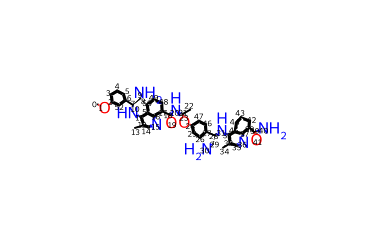 COc1cccc([C@@H](CN)Nc2c(C)cnc3c(C(=O)NC(C)Oc4ccc([C@@H](CN)Nc5c(C)cnc6c(C(N)=O)cccc56)cc4)cccc23)c1